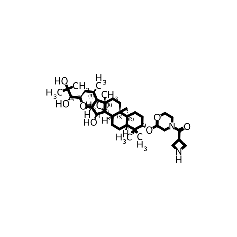 C[C@@H]1C[C@H]([C@H](O)C(C)(C)O)O[C@H]2C1[C@@]1(C)CC[C@@]34C[C@@]35CC[C@H](OC3CN(C(=O)C6CNC6)CCO3)C(C)(C)[C@@H]5CC[C@H]4[C@]1(C)[C@H]2O